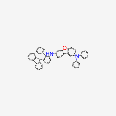 c1ccc(N(c2ccccc2)c2ccc3oc4cc(Nc5cccc6c5-c5ccccc5C65c6ccccc6-c6ccccc65)ccc4c3c2)cc1